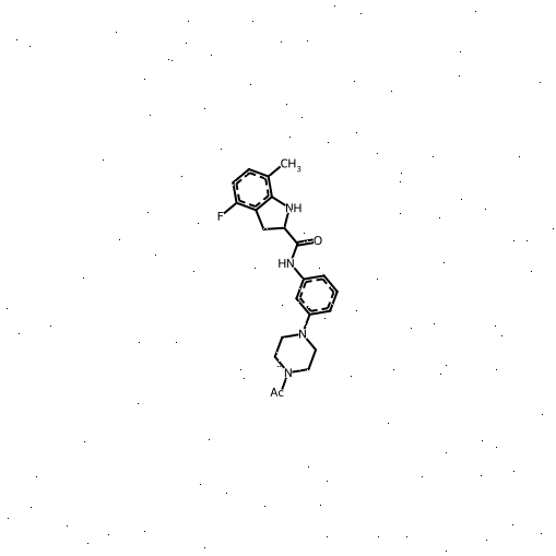 CC(=O)N1CCN(c2cccc(NC(=O)C3Cc4c(F)ccc(C)c4N3)c2)CC1